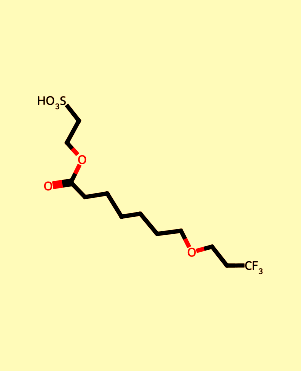 O=C(CCCCCCOCCC(F)(F)F)OCCS(=O)(=O)O